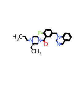 CCCN1CCN(C(=O)c2cc(CN3CN=Cc4ccccc43)ccc2F)C[C@H]1CC